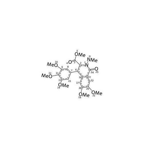 CNn1c(C(=O)OC)c(-c2cc(OC)c(OC)c(OC)c2)c2cc(OC)c(OC)cc2c1=O